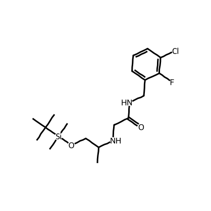 CC(CO[Si](C)(C)C(C)(C)C)NCC(=O)NCc1cccc(Cl)c1F